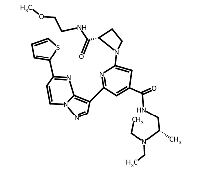 CCN(CC)[C@@H](C)CNC(=O)c1cc(-c2cnn3ccc(-c4cccs4)nc23)nc(N2CC[C@H]2C(=O)NCCOC)c1